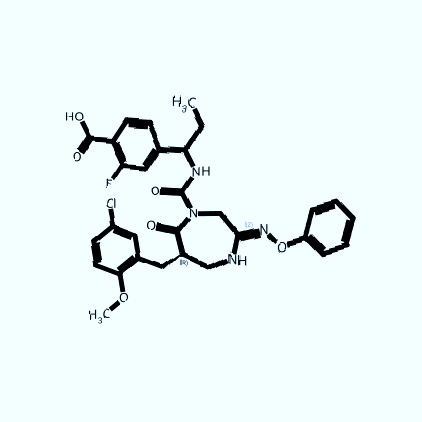 CCC(NC(=O)N1C/C(=N/Oc2ccccc2)NC[C@@H](Cc2cc(Cl)ccc2OC)C1=O)c1ccc(C(=O)O)c(F)c1